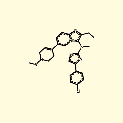 CCc1nc2ccc(C3=CCN(SC)CC3)cn2c1N(C)c1nc(-c2ccc(Cl)cc2)cs1